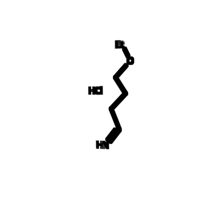 CCOCCCC=N.Cl